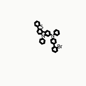 Brc1ccccc1-c1ccc(N(c2ccccc2)c2ccc3c4c5sc6ccccc6c5ccc4n(-c4ccccc4)c3c2)cc1